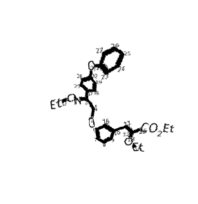 CCON=C(COc1cccc(CC(OCC)C(=O)OCC)c1)c1ccc(Oc2ccccc2)cc1